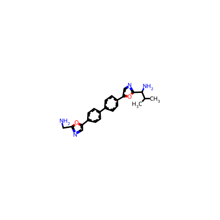 CC(C)C(N)c1ncc(-c2ccc(-c3ccc(-c4cnc(CN)o4)cc3)cc2)o1